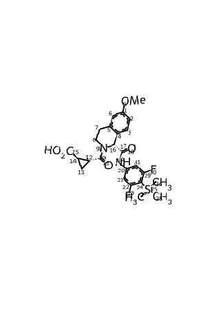 COc1ccc2c(c1)CCN(C(=O)[C@@H]1C[C@H]1C(=O)O)[C@H]2C(=O)Nc1cc(F)c([Si](C)(C)C)c(F)c1